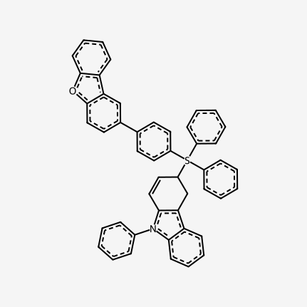 C1=CC(S(c2ccccc2)(c2ccccc2)c2ccc(-c3ccc4oc5ccccc5c4c3)cc2)Cc2c1n(-c1ccccc1)c1ccccc21